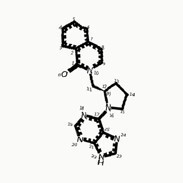 O=c1c2ccccc2ccn1C[C@H]1CCCN1c1ncnc2[nH]cnc12